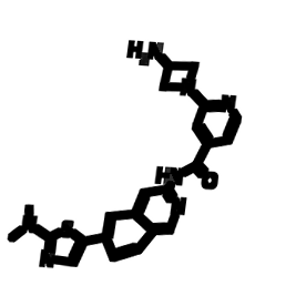 CN(C)c1ncc(-c2ccc3cnc(NC(=O)c4ccnc(N5CC(N)C5)c4)cc3c2)s1